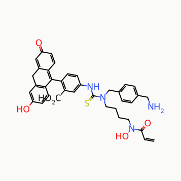 C=CC(=O)N(O)CCCCN(Cc1ccc(CN)cc1)C(=S)Nc1ccc(C2=C3C=CC(=O)C=C3Cc3cc(O)ccc32)c(C(=O)O)c1